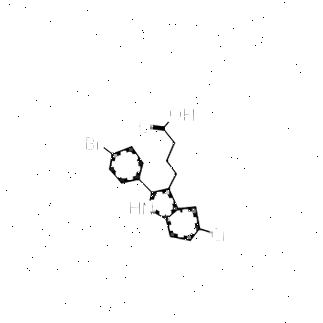 O=C(O)CCCc1c(-c2ccc(Br)cc2)[nH]c2ccc(Cl)cc12